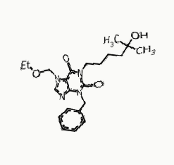 CCOCn1cnc2c1c(=O)n(CCCCC(C)(C)O)c(=O)n2Cc1ccccc1